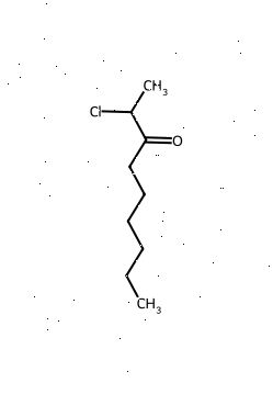 CCCCCCC(=O)C(C)Cl